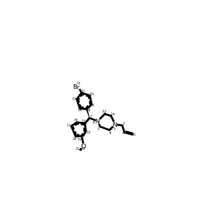 C=CCN1CCN([C@H](c2ccc(Br)cc2)c2cccc(OC)c2)CC1